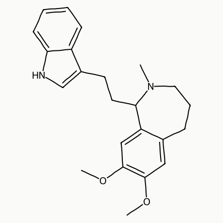 COc1cc2c(cc1OC)C(CCc1c[nH]c3ccccc13)N(C)CCC2